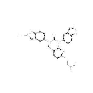 Cn1cc2cc(N3Cc4ccc(OCC(F)F)nc4N(c4ccc5sncc5c4)C3=O)ccc2n1